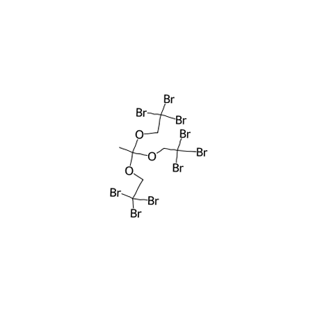 CC(OCC(Br)(Br)Br)(OCC(Br)(Br)Br)OCC(Br)(Br)Br